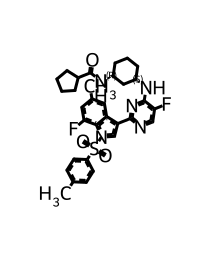 Cc1ccc(S(=O)(=O)n2cc(-c3ncc(F)c(N[C@H]4CCC[C@@H](NC(=O)C5CCCC5)C4)n3)c3cc(C)cc(F)c32)cc1